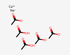 CC(=O)O.CC(=O)O.CC(=O)[O-].CC(=O)[O-].CC(=O)[O-].[Ca+2].[Na+]